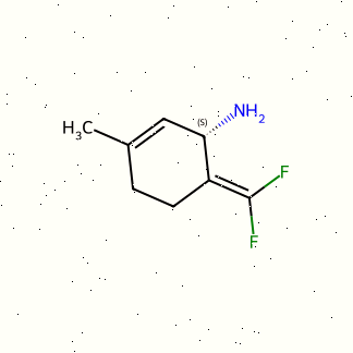 CC1=C[C@H](N)C(=C(F)F)CC1